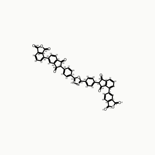 O=C1OC(=O)c2cc(-c3cccc4c3C(=O)C(c3ccc(-c5nnc(-c6ccc(C7C(=O)c8ccc(-c9cccc%10c9C(=O)OC%10=O)cc8C7=O)cc6)o5)cc3)C4=O)ccc21